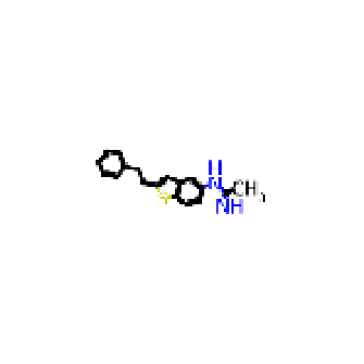 CC(=N)Nc1ccc2sc(CCc3ccccc3)cc2c1